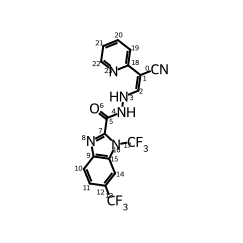 N#CC(=CNNC(=O)c1nc2ccc(C(F)(F)F)cc2n1C(F)(F)F)c1ccccn1